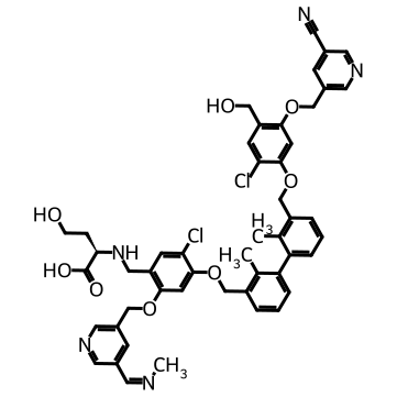 C/N=C\c1cncc(COc2cc(OCc3cccc(-c4cccc(COc5cc(OCc6cncc(C#N)c6)c(CO)cc5Cl)c4C)c3C)c(Cl)cc2CN[C@H](CCO)C(=O)O)c1